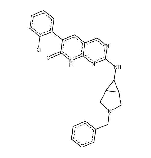 O=c1[nH]c2nc(NC3C4CN(Cc5ccccc5)CC43)ncc2cc1-c1ccccc1Cl